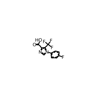 O=C(O)c1ncn(-c2ccc(F)cc2)c1C(F)(F)F